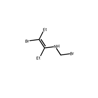 CC/C(Br)=C(/CC)NCBr